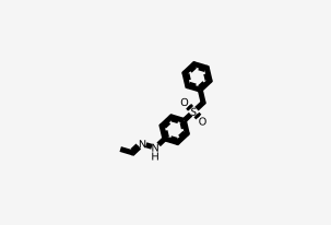 CC=NNc1ccc(S(=O)(=O)Cc2ccccc2)cc1